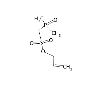 C=CCOS(=O)(=O)CP(C)(C)=O